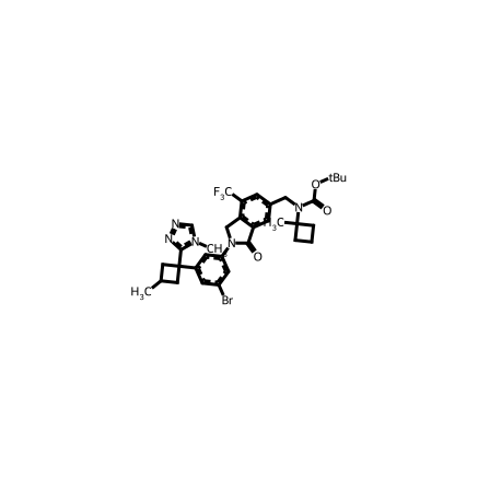 CC1CC(c2cc(Br)cc(N3Cc4c(cc(CN(C(=O)OC(C)(C)C)C5(C)CCC5)cc4C(F)(F)F)C3=O)c2)(c2nncn2C)C1